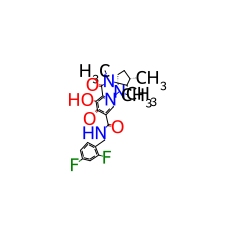 C[C@H]1CC[C@@]2([C@H]1C)N(C)C(=O)c1c(O)c(=O)c(C(=O)NCc3ccc(F)cc3F)cn1N2C